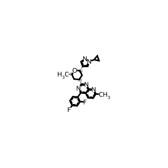 Cc1ccc2c(-c3ccc(F)cc3F)nc([C@H]3C[C@@H](c4cnn(C5CC5)c4)O[C@@H](C)C3)nc2n1